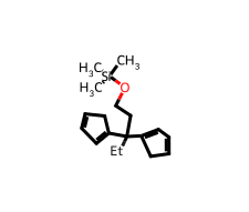 CCC(CCO[Si](C)(C)C)(C1=CC=CC1)C1=CC=CC1